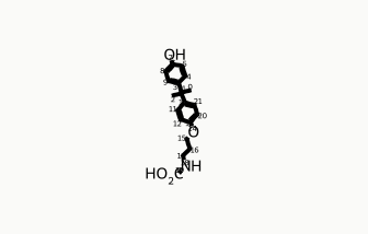 CC(C)(c1ccc(O)cc1)c1ccc(OCCCNC(=O)O)cc1